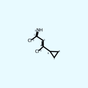 N=C(Cl)/C=C(\Cl)C1CC1